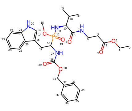 CCOC(=O)CCNC(=O)[C@@H](NP(=O)(OC)C(Cc1c[nH]c2ccccc12)NC(=O)OCc1ccccc1)C(C)C